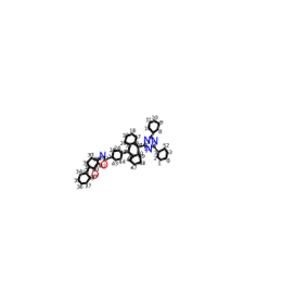 c1ccc(-c2nc(-c3ccccc3)nc(-c3c4ccccc4c(-c4ccc(-c5nc6ccc7c8ccccc8oc7c6o5)cc4)c4ccccc34)n2)cc1